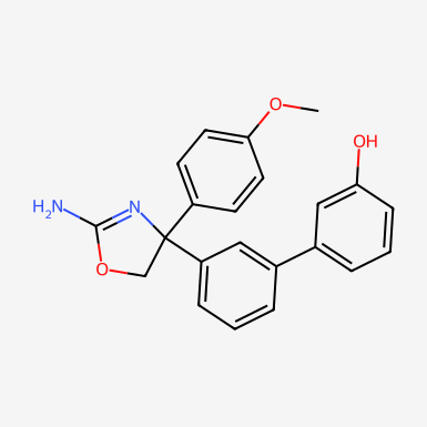 COc1ccc(C2(c3cccc(-c4cccc(O)c4)c3)COC(N)=N2)cc1